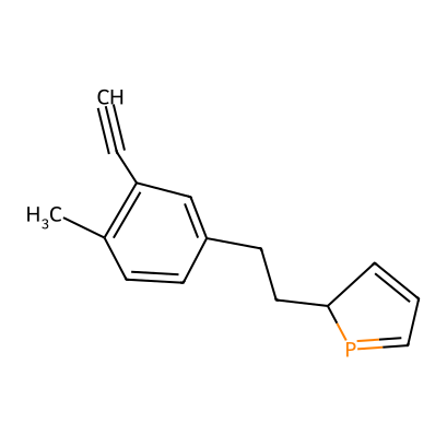 C#Cc1cc(CCC2C=CC=P2)ccc1C